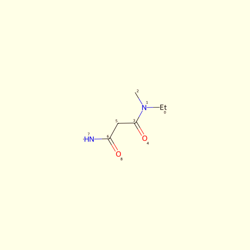 CCN(C)C(=O)CC([NH])=O